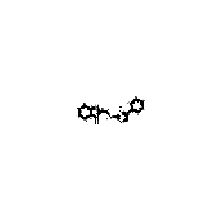 c1ccc(-c2cnc(SCc3nc4ccccc4[nH]3)[nH]2)cc1